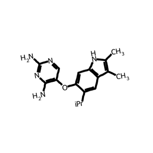 Cc1[nH]c2cc(Oc3cnc(N)nc3N)c(C(C)C)cc2c1C